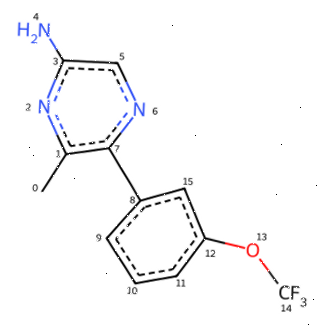 Cc1nc(N)cnc1-c1cccc(OC(F)(F)F)c1